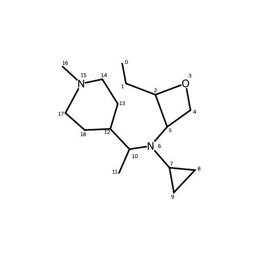 CCC1OCC1N(C1CC1)C(C)C1CCN(C)CC1